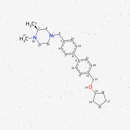 C[C@H]1CN(Cc2ccc(-c3ccc(COC4CCCC4)cc3)cc2)CCN1C